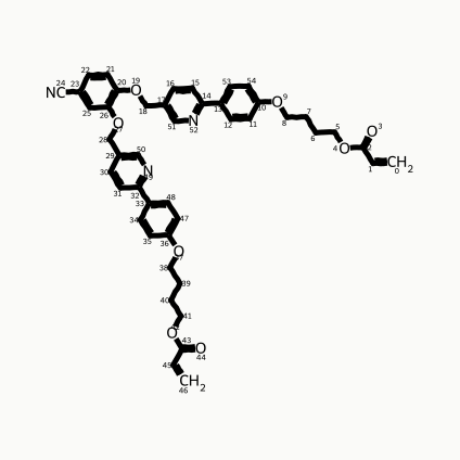 C=CC(=O)OCCCCOc1ccc(-c2ccc(COc3ccc(C#N)cc3OCc3ccc(-c4ccc(OCCCCOC(=O)C=C)cc4)nc3)cn2)cc1